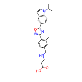 Cc1cc(CNCCC(=O)O)ccc1-c1noc(-c2ccc3c(ccn3C(C)C)c2)n1